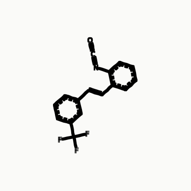 O=C=Nc1ccccc1C=Cc1cccc(C(F)(F)F)c1